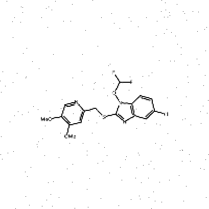 COc1cnc(CSc2nc3cc(Cl)ccc3n2OC(F)F)cc1OC